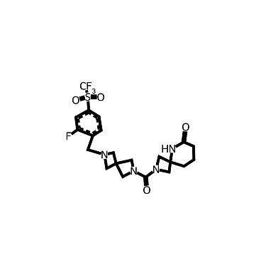 O=C1CCCC2(CN(C(=O)N3CC4(CN(Cc5ccc(S(=O)(=O)C(F)(F)F)cc5F)C4)C3)C2)N1